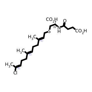 C/C(Cl)=C\CC/C(C)=C/CC/C(C)=C/CSC[C@@H](NC(=O)CCC(=O)O)C(=O)O